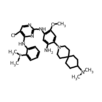 COc1cc(N2CCC3(CCC(N(C)C)CC3)CC2)c(N)cc1Nc1ncc(Cl)c(Nc2ccccc2P(C)C)n1